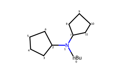 [CH2]CCCN(C1CCCC1)C1CCCC1